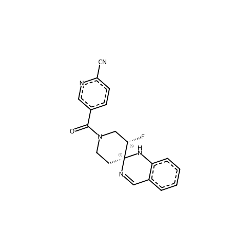 N#Cc1ccc(C(=O)N2CC[C@]3(N=Cc4ccccc4N3)[C@@H](F)C2)cn1